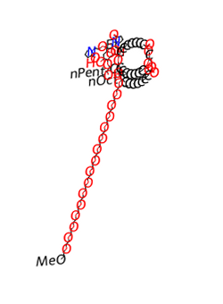 CCCCCCCCC1OC2CC(C(O)CCCCC)OC(C(O)CC(O)C(CC)OCCN3CCCC3=O)CC(OCCN3CCCC3=O)C3CCCCCCCC(=O)OCC(COC(=O)CCCCCCCC1OCCOCCOCCOCCOCCOCCOCCOCCOCCOCCOCCOCCOCCOCCOCCOCCOC)OC(=O)CCCCCCCC2O3